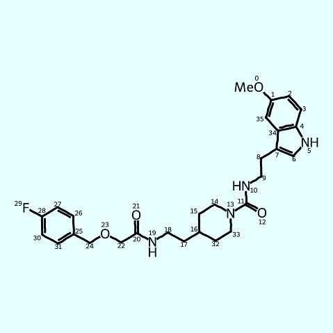 COc1ccc2[nH]cc(CCNC(=O)N3CCC(CCNC(=O)COCc4ccc(F)cc4)CC3)c2c1